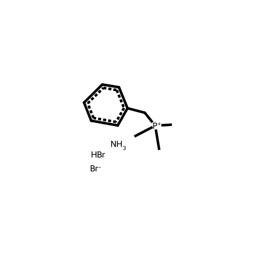 Br.C[P+](C)(C)Cc1ccccc1.N.[Br-]